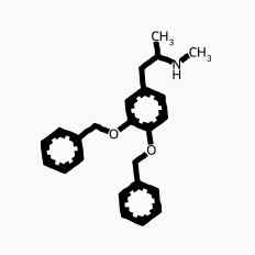 CNC(C)Cc1ccc(OCc2ccccc2)c(OCc2ccccc2)c1